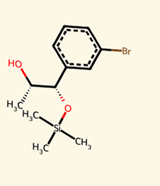 C[C@H](O)[C@@H](O[Si](C)(C)C)c1cccc(Br)c1